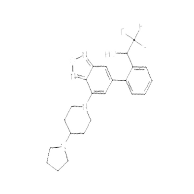 OC(c1ccccc1-c1cc(N2CCC(N3CCCC3)CC2)c2nonc2c1)C(F)(F)F